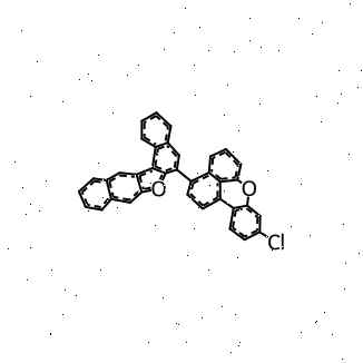 Clc1ccc2c(c1)Oc1cccc3c(-c4cc5ccccc5c5c4oc4cc6ccccc6cc45)ccc-2c13